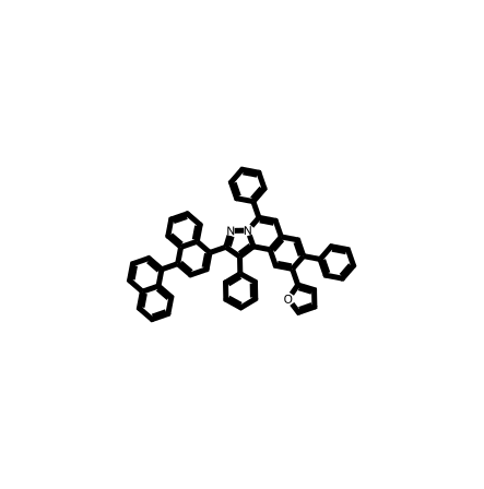 c1ccc(-c2cc3cc(-c4ccccc4)n4nc(-c5ccc(-c6cccc7ccccc67)c6ccccc56)c(-c5ccccc5)c4c3cc2-c2ccco2)cc1